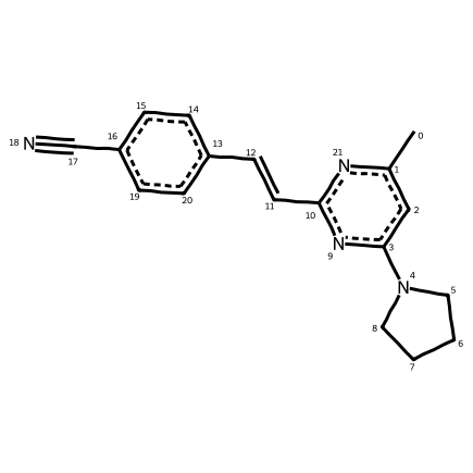 Cc1cc(N2CCCC2)nc(/C=C/c2ccc(C#N)cc2)n1